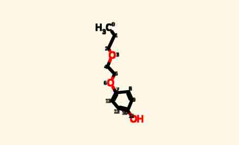 CCCOCCOc1ccc(O)cc1